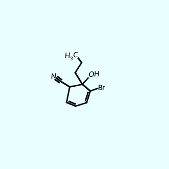 CCCC1(O)C(Br)=CC=CC1C#N